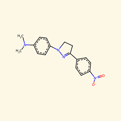 CN(C)c1ccc(N2CCC(c3ccc([N+](=O)[O-])cc3)=N2)cc1